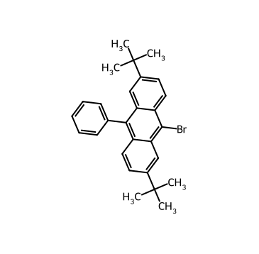 CC(C)(C)c1ccc2c(-c3ccccc3)c3cc(C(C)(C)C)ccc3c(Br)c2c1